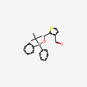 CC(C)(C)[Si](OCc1sccc1C=O)(c1ccccc1)c1ccccc1